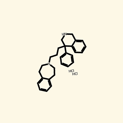 Cl.Cl.c1ccc(C2(CCCN3CCc4ccccc4CC3)CNCc3ccccc32)cc1